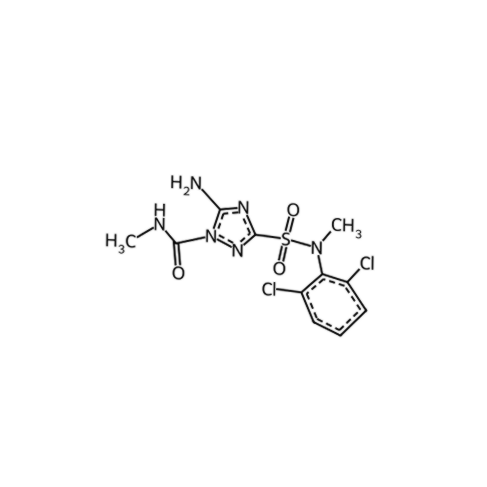 CNC(=O)n1nc(S(=O)(=O)N(C)c2c(Cl)cccc2Cl)nc1N